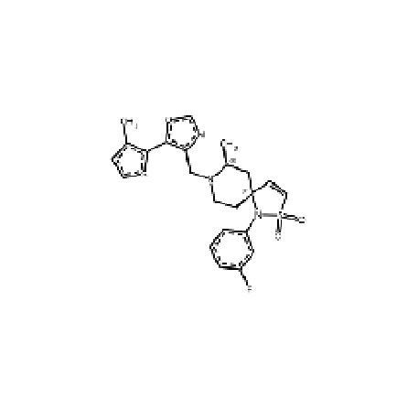 Cc1ccsc1-c1ocnc1CN1CC[C@]2(C=CS(=O)(=O)N2c2cccc(F)c2)C[C@@H]1C